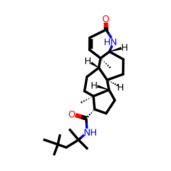 CC(C)(C)CC(C)(C)NC(=O)[C@H]1CC[C@H]2[C@@H]3CC[C@H]4NC(=O)C=C[C@]4(C)[C@H]3CC[C@]12C